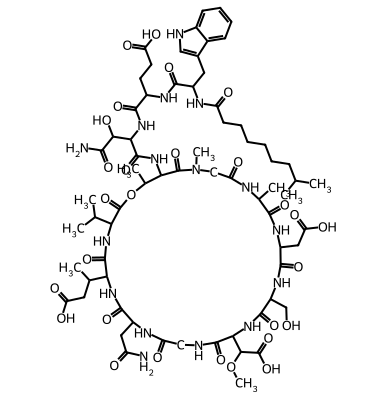 COC(C(=O)O)C1NC(=O)C(CO)NC(=O)C(CC(=O)O)NC(=O)C(C)NC(=O)CN(C)C(=O)C(NC(=O)C(NC(=O)C(CCC(=O)O)NC(=O)C(Cc2c[nH]c3ccccc23)NC(=O)CCCCCCC(C)C)C(O)C(N)=O)C(C)OC(=O)C(C(C)C)NC(=O)C(C(C)CC(=O)O)NC(=O)C(CC(N)=O)NC(=O)CNC1=O